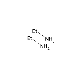 CCN.CCN